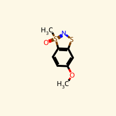 COc1ccc2c(c1)SN=S2(C)=O